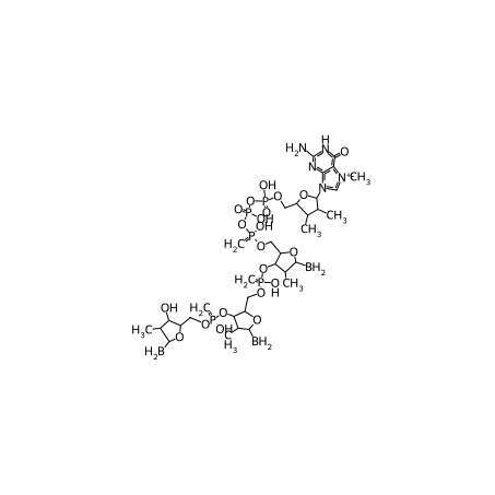 BC1OC(COP(=C)(O)OC2C(COP(=C)(O)OC3C(COP(=C)(O)OP(=O)(O)OP(=O)(O)OCC4OC(n5c[n+](C)c6c(=O)[nH]c(N)nc65)C(C)C4C)OC(B)C3C)OC(B)C2C)C(O)C1C